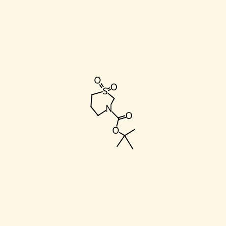 CC(C)(C)OC(=O)N1CCCS(=O)(=O)C1